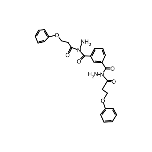 NN(C(=O)CCOc1ccccc1)C(=O)c1cccc(C(=O)N(N)C(=O)CCOc2ccccc2)c1